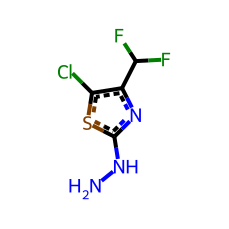 NNc1nc(C(F)F)c(Cl)s1